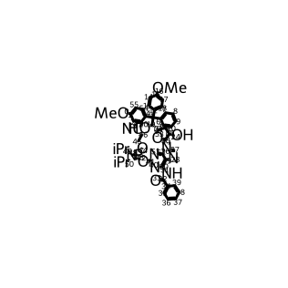 COc1ccc(C(c2ccccc2)(c2ccc(OC)cc2)C(O)[C@@H]2C[C@@H](O)[C@H](n3cnc4c(NC(=O)c5ccccc5)nc(OP(OCCC#N)N(C(C)C)C(C)C)nc43)O2)cc1